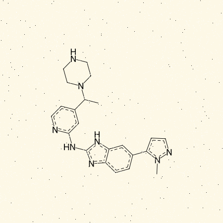 CC(c1ccnc(Nc2nc3ccc(-c4ccnn4C)cc3[nH]2)c1)N1CCNCC1